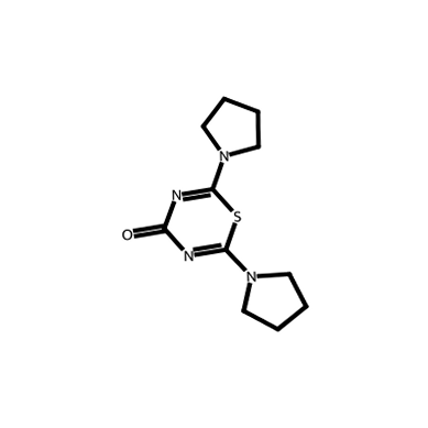 O=c1nc(N2CCCC2)sc(N2CCCC2)n1